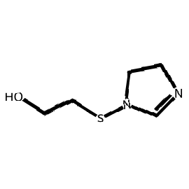 OCCSN1C=NCC1